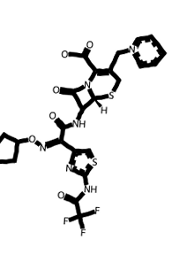 O=C([O-])C1=C(C[n+]2ccccc2)CS[C@@H]2C(NC(=O)/C(=N\OC3CCCC3)c3csc(NC(=O)C(F)(F)F)n3)C(=O)N12